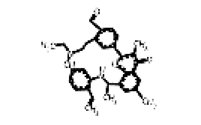 C=Cc1ccccc1NC(C)c1cc(C)cc2c(=O)c(C)c(-c3ccc(C=O)c(CCN(C)CC)c3)oc12